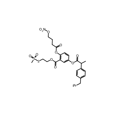 CC(C)Cc1ccc(C(C)C(=O)Oc2ccc(OC(=O)CCCO[N+](=O)[O-])c(C(=O)OCCSS(C)(=O)=O)c2)cc1